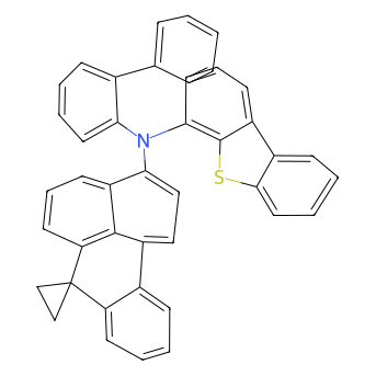 c1ccc(-c2ccccc2N(c2ccc3c4c(cccc24)C2(CC2)c2ccccc2-3)c2cccc3c2sc2ccccc23)cc1